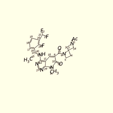 CC(=O)N1CC2(CCN2C(=O)c2cc3c(N[C@H](C)c4cccc(C(F)F)c4F)ncnc3n(C)c2=O)C1